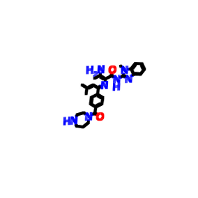 CC(C)=C/C(=N\C(C(=O)Nc1nc2ccccc2n1C)=C(/C)N)c1ccc(C(=O)N2CCCNCC2)cc1